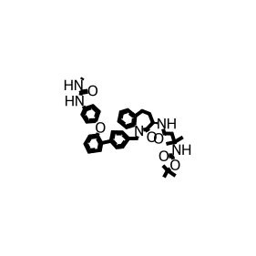 CNC(=O)Nc1ccc(Oc2ccccc2-c2ccc(CN3C(=O)[C@H](NC(=O)CC(C)(C)NC(=O)OC(C)(C)C)CCc4ccccc43)cc2)cc1